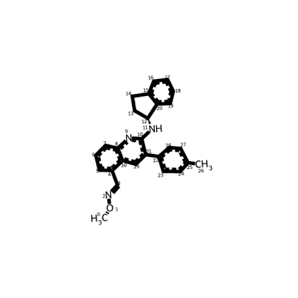 CON=Cc1cccc2nc(N[C@@H]3CCc4ccccc43)c(-c3ccc(C)cc3)cc12